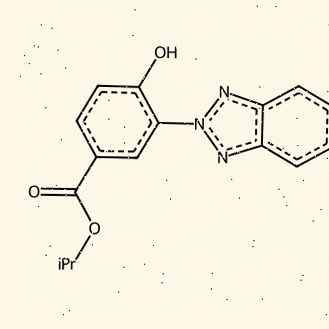 CC(C)OC(=O)c1ccc(O)c(-n2nc3ccccc3n2)c1